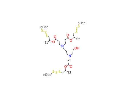 CCCCCCCCCCSSSCC(CC)OC(=O)CCN(CCO)CCCN(CCC(=O)OC(CC)CSSSCCCCCCCCCC)CCC(=O)OC(CC)CSSSCCCCCCCCCC